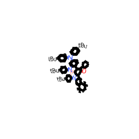 CC(C)(C)c1ccc(N2B3c4cc(C(C)(C)C)ccc4-n4c5cc6c(cc5c5c7oc8ccccc8c7c(c3c54)-c3ccc(N(c4ccc(C(C)(C)C)cc4)c4ccc(C(C)(C)C)cc4)cc32)C(C)(C)CCC6(C)C)cc1